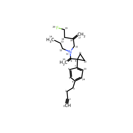 C#CCCc1ccc(C2(C(=C)N(CCC)CC(=C)CCF)CC2)cc1